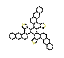 c1ccc2cc3c(ccc4c3c3cscc3c3c4c4c5cscc5c5c6cc7ccccc7cc6ccc5c4c4c5cscc5c5c6cc7ccccc7cc6ccc5c34)cc2c1